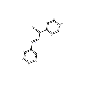 O=C(/C=C/c1ccncc1)c1ccncc1